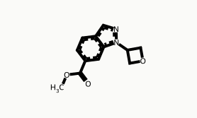 COC(=O)c1ccc2cnn(C3COC3)c2c1